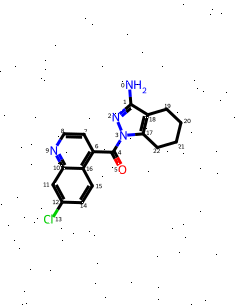 Nc1nn(C(=O)c2ccnc3cc(Cl)ccc23)c2c1CCCC2